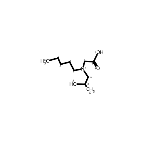 CCCCCN(CC(=O)O)CC(C)O